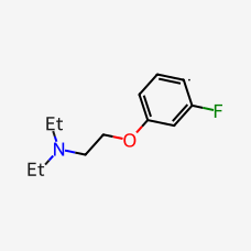 CCN(CC)CCOc1cc[c]c(F)c1